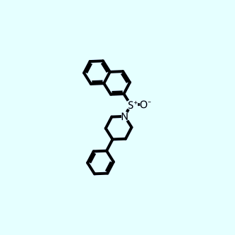 [O-][S+](c1ccc2ccccc2c1)N1CCC(C2C=CCC=C2)CC1